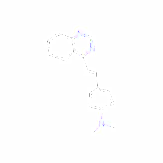 CN(C)c1ccc(/C=C/c2ncnc3ccccc23)cc1